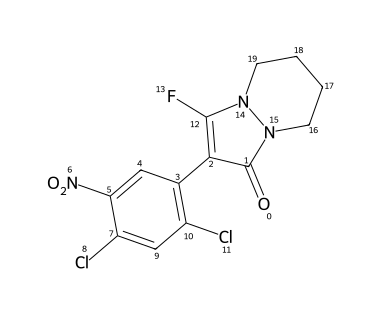 O=c1c(-c2cc([N+](=O)[O-])c(Cl)cc2Cl)c(F)n2n1CCCC2